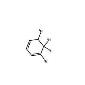 [2H]C1=CC=CC([2H])C1([2H])[2H]